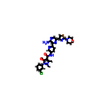 Cc1c(C(=O)Nc2ccc(-c3nc(-c4csc(N5CCOCC5)n4)cnc3N)nc2)c(=O)n(-c2cccc(Cl)c2)n1C